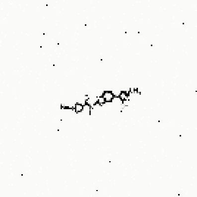 Cc1nn(C)cc1-c1ccc2nc(NC(=O)C3CCN(C#N)C3)sc2c1